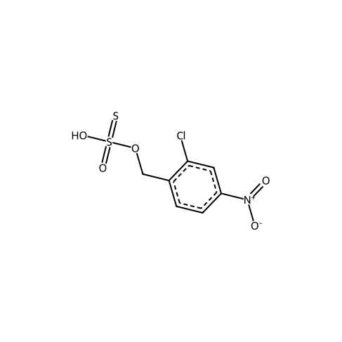 O=[N+]([O-])c1ccc(COS(=O)(O)=S)c(Cl)c1